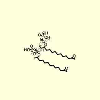 CC(CCCCCCCCCC1CO1)OP(=O)(O)OP(=O)(O)O.CCC(CCCCCCCCCC1CO1)OP(=O)(O)OP(=O)(O)O